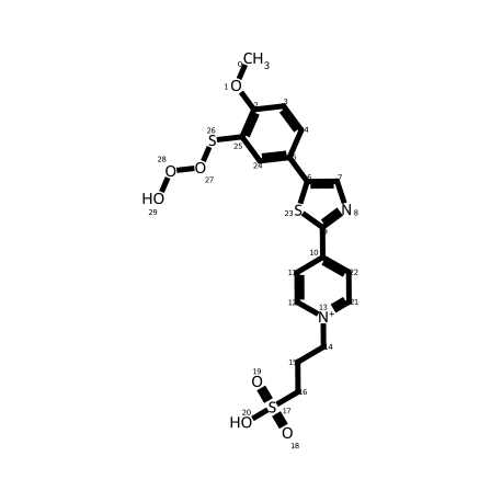 COc1ccc(-c2cnc(-c3cc[n+](CCCS(=O)(=O)O)cc3)s2)cc1SOOO